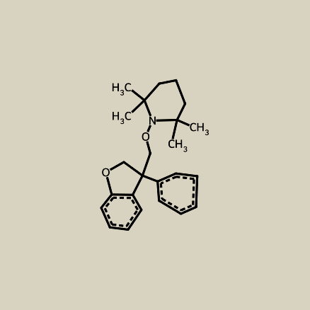 CC1(C)CCCC(C)(C)N1OCC1(c2ccccc2)COc2ccccc21